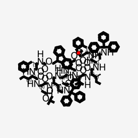 CC[C@H](C)[C@H](NC(=O)[C@H](CC(=O)OC(C)(C)C)NC(=O)[C@@H](NC(=O)[C@H](Cc1ccccc1)NC(=O)OCC1c2ccccc2-c2ccccc21)[C@@H](C)CC)C(=O)N[C@@H](CC(=O)NC(c1ccccc1)(c1ccccc1)c1ccccc1)C(=O)N[C@@H](CC(=O)OC(C)(C)C)C(=O)N[C@H](C(=O)N[C@H](C(=O)N[C@@H](CC(=O)NC(c1ccccc1)(c1ccccc1)c1ccccc1)C(=O)N[C@@H](Cc1ccccc1)C(=O)O)[C@@H](C)CC)C(C)C